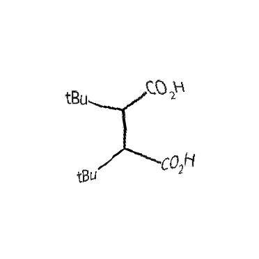 CC(C)(C)C(C(=O)O)C(C(=O)O)C(C)(C)C